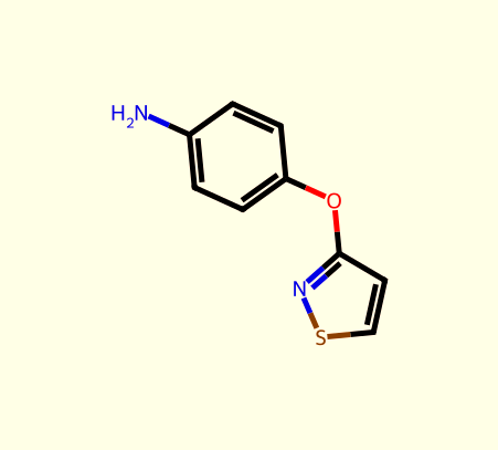 Nc1ccc(Oc2ccsn2)cc1